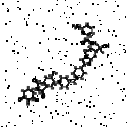 CC(C)(O)c1cc2nc(C3CCN(CC4CCN(c5cc6c(cc5F)C(=O)N([C@H]5CCC(=O)NC5=O)C6=O)CC4)CC3)cn2cc1NC(=O)c1cccc(C(F)(F)F)n1